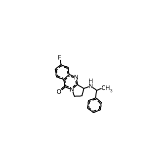 CC(NC1CCn2c1nc1cc(F)ccc1c2=O)c1ccccc1